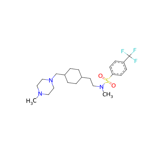 CN1CCN(CC2CCC(CCN(C)S(=O)(=O)c3ccc(C(F)(F)F)cc3)CC2)CC1